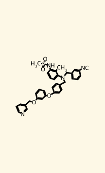 [C-]#[N+]c1cccc(CN(Cc2ccc(Oc3cccc(OCc4cccnc4)c3)cc2)c2cccc(NS(C)(=O)=O)c2C)c1